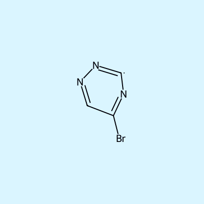 Brc1cnn[c]n1